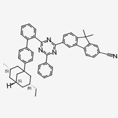 CC[C@@H]1C[C@@H]2C[C@H](C)CC(c3ccc(-c4ccccc4-c4nc(-c5ccccc5)nc(-c5ccc6c(c5)-c5ccc(C#N)cc5C6(C)C)n4)cc3)(C1)C2